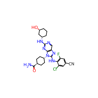 N#Cc1cc(F)c(Nc2nc3cnc(N[C@H]4CCC[C@H](O)C4)nc3n2[C@H]2CC[C@H](C(N)=O)CC2)c(Cl)c1